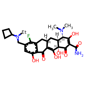 CCN(Cc1cc(O)c2c(c1F)C[C@H]1C[C@H]3[C@H](N(C)C)C(O)=C(C(N)=O)C(=O)[C@@]3(O)C(O)=C1C2=O)C1CCC1